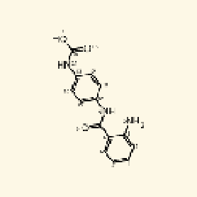 Nc1ccccc1C(=O)Nc1ccc(NC(=O)O)cc1